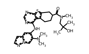 CN(CC(C)(C)O)C(=O)C1CCc2c(sc3ncnc(Nc4cc5ccnn5cc4N(C)C)c23)C1